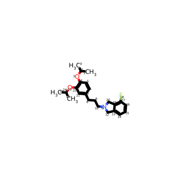 CC(C)Oc1ccc(CCCN2Cc3cccc(F)c3C2)cc1OC(C)C